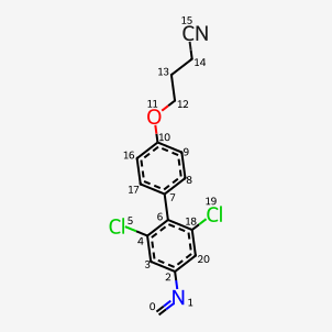 C=Nc1cc(Cl)c(-c2ccc(OCCCC#N)cc2)c(Cl)c1